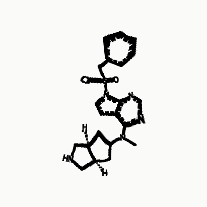 CN(c1ncnc2c1ccn2S(=O)(=O)Cc1ccccc1)C1C[C@H]2CNC[C@H]2C1